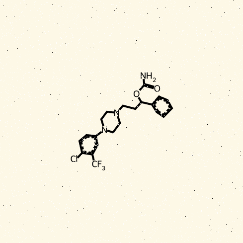 NC(=O)OC(CCN1CCN(c2ccc(Cl)c(C(F)(F)F)c2)CC1)c1ccccc1